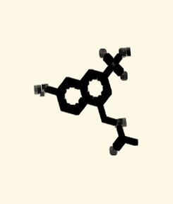 CC(=O)NCc1cc(S(=O)(=O)O)cc2[c]c(N)ccc12